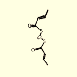 CC=CC(=O)SOSC(=O)/C=C/C